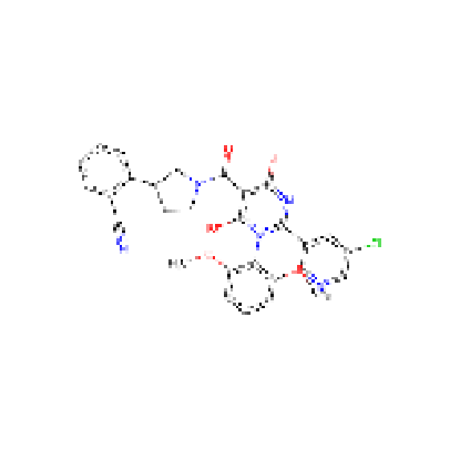 COc1cccc(OC)c1-n1c(-c2cncc(Cl)c2)nc(=O)c(C(=O)N2CCC(c3ccccc3C#N)C2)c1O